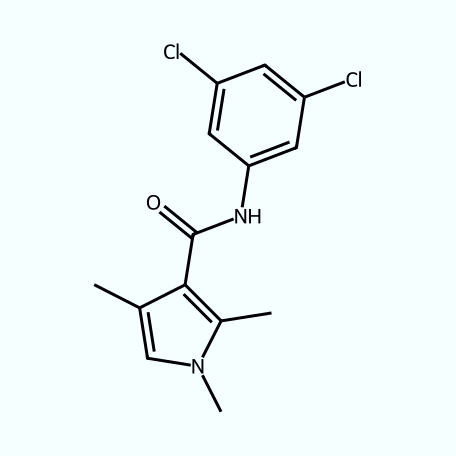 Cc1cn(C)c(C)c1C(=O)Nc1cc(Cl)cc(Cl)c1